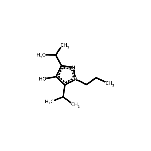 CCCn1nc(C(C)C)c(O)c1C(C)C